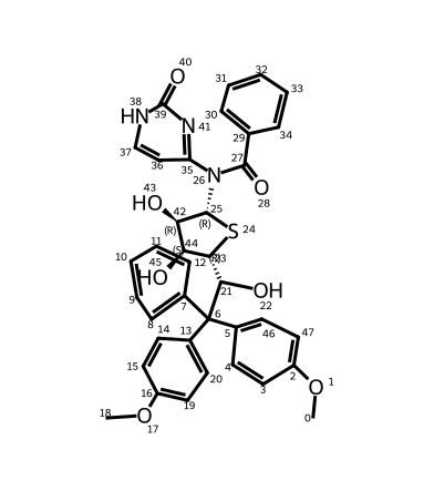 COc1ccc(C(c2ccccc2)(c2ccc(OC)cc2)C(O)[C@H]2S[C@@H](N(C(=O)c3ccccc3)c3cc[nH]c(=O)n3)[C@H](O)[C@@H]2O)cc1